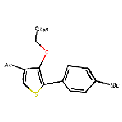 COCOc1c(C(C)=O)csc1-c1ccc(C(C)(C)C)cc1